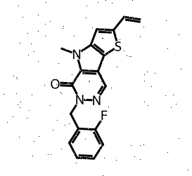 C=Cc1cc2c(s1)c1cnn(Cc3ccccc3F)c(=O)c1n2C